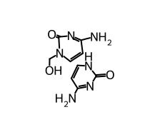 Nc1cc[nH]c(=O)n1.Nc1ccn(CO)c(=O)n1